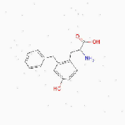 NC(Cc1ccc(O)cc1Cc1ccccc1)C(=O)O